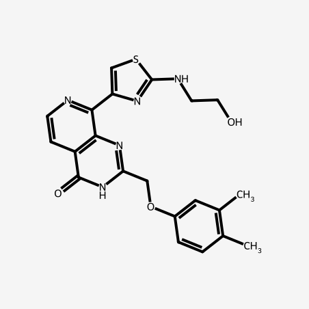 Cc1ccc(OCc2nc3c(-c4csc(NCCO)n4)nccc3c(=O)[nH]2)cc1C